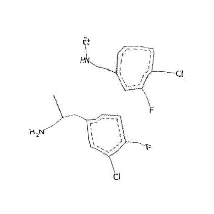 CC(N)c1ccc(F)c(Cl)c1.CCNc1ccc(Cl)c(F)c1